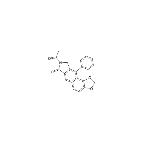 CC(=O)N1Cc2c(cc3ccc4c(c3c2-c2ccccc2)OCO4)C1=O